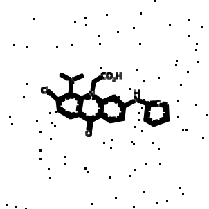 CN(C)c1c(Cl)ccc2c(=O)c3ccc(Nc4ccccc4)cc3n(CC(=O)O)c12